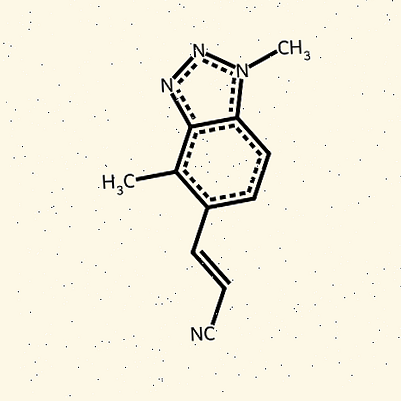 Cc1c(C=CC#N)ccc2c1nnn2C